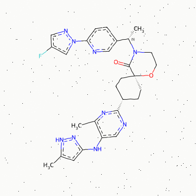 Cc1cc(Nc2cnc([C@H]3CC[C@@]4(CC3)OCCN([C@@H](C)c3ccc(-n5cc(F)cn5)nc3)C4=O)nc2C)n[nH]1